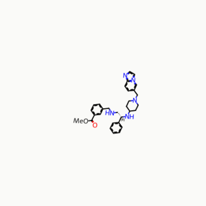 COC(=O)c1cccc(CNC[C@H](NC2CCN(Cc3ccc4nccn4c3)CC2)c2ccccc2)c1